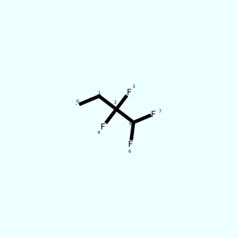 [CH2]CC(F)(F)C(F)F